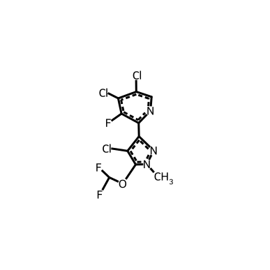 Cn1nc(-c2ncc(Cl)c(Cl)c2F)c(Cl)c1OC(F)F